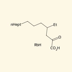 CCCCCCCCCCC(CC)CC(=O)C(=O)O.[RbH]